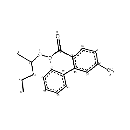 CCCC(C)OOC(=O)c1ccc(O)cc1-c1ccccc1